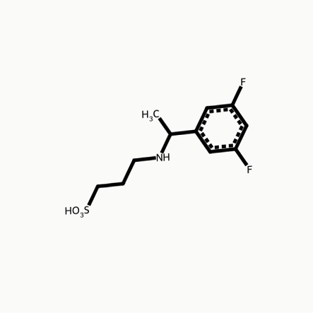 CC(NCCCS(=O)(=O)O)c1cc(F)cc(F)c1